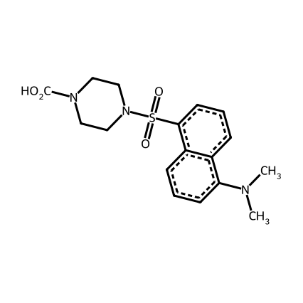 CN(C)c1cccc2c(S(=O)(=O)N3CCN(C(=O)O)CC3)cccc12